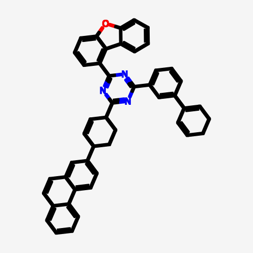 C1=CC(c2cccc(-c3nc(-c4cccc5oc6ccccc6c45)nc(C4C=CC(c5ccc6c(ccc7ccccc76)c5)CC4)n3)c2)=CCC1